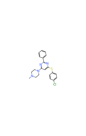 CN1CCN(c2cc(Sc3ccc(Cl)cc3)nc(-c3ccccc3)n2)CC1